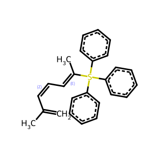 C=C(C)/C=C\C=C(/C)S(c1ccccc1)(c1ccccc1)c1ccccc1